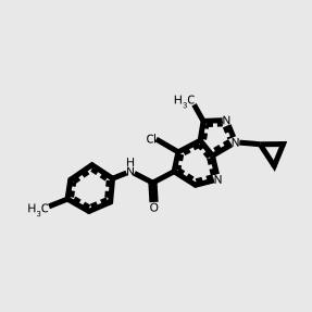 Cc1ccc(NC(=O)c2cnc3c(c(C)nn3C3CC3)c2Cl)cc1